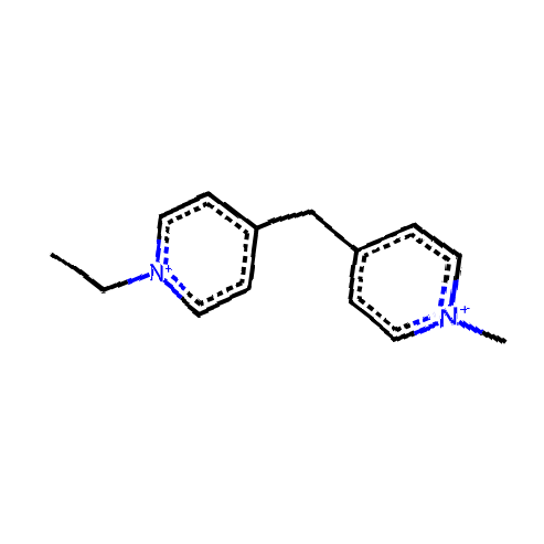 CC[n+]1ccc(Cc2cc[n+](C)cc2)cc1